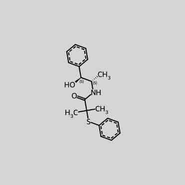 C[C@H](NC(=O)C(C)(C)Sc1ccccc1)[C@@H](O)c1ccccc1